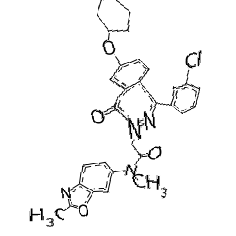 Cc1nc2ccc(N(C)C(=O)Cn3nc(-c4cccc(Cl)c4)c4ccc(OC5CCCCC5)cc4c3=O)cc2o1